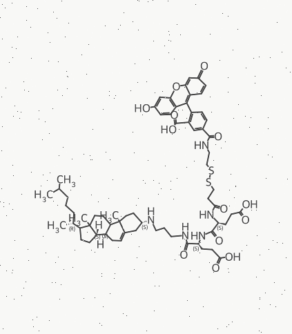 CC(C)CCC[C@@H](C)C1CC[C@H]2[C@@H]3CC=C4C[C@@H](NCCCNC(=O)[C@H](CCC(=O)O)NC(=O)[C@H](CCC(=O)O)NC(=O)CCSSCCNC(=O)c5ccc(-c6c7ccc(=O)cc-7oc7cc(O)ccc67)c(C(=O)O)c5)CCC4(C)C3CCC12C